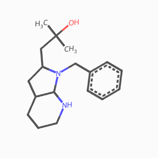 CC(C)(O)CC1CC2CCCNC2N1Cc1ccccc1